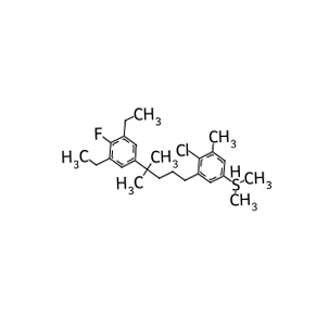 CCc1cc(C(C)(C)CCCc2cc([SH](C)C)cc(C)c2Cl)cc(CC)c1F